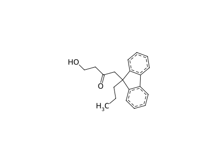 CCCC1(CC(=O)CCO)c2ccccc2-c2ccccc21